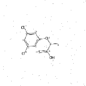 CC(Oc1cc(Cl)cc(Cl)c1)C(O)=S